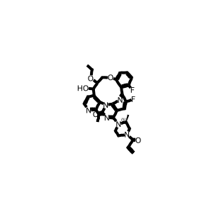 C=CC(=O)N1CCN(c2nc(=O)n3c4nc(c(F)cc24)-c2c(F)cccc2OCC(OCC)C(O)c2ccnc(C(C)C)c2-3)[C@@H](C)C1